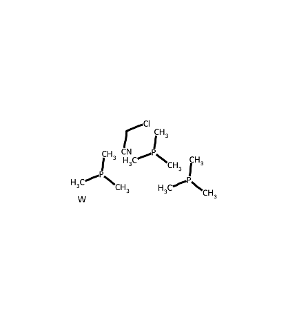 CP(C)C.CP(C)C.CP(C)C.N#CCCl.[W]